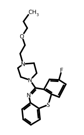 CCCOCCN1CCN(C2=Nc3ccccc3Sc3ccc(F)cc32)CC1